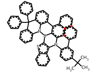 CC(C)(C)c1ccc(N2c3cc4ccccc4c4c3B(c3sc5ccccc5c32)N2c3ccccc3C(c3ccccc3)(c3ccccc3)c3cccc-4c32)c(-c2ccccc2)c1